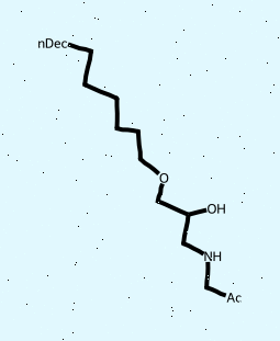 CCCCCCCCCCCCCCCCOCC(O)CNCC(C)=O